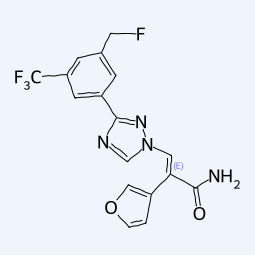 NC(=O)/C(=C/n1cnc(-c2cc(CF)cc(C(F)(F)F)c2)n1)c1ccoc1